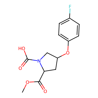 COC(=O)C1CC(Oc2ccc(F)cc2)CN1C(=O)O